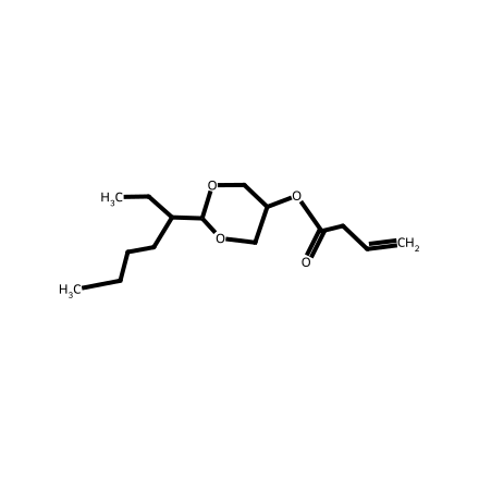 C=CCC(=O)OC1COC(C(CC)CCCC)OC1